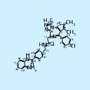 Cc1sc2c(c1C)C(c1ccc(Cl)cc1)=N[C@@H](CC(=O)NCc1ccc(C(=O)Nc3ccccc3N)cc1)c1nnc(C)n1-2